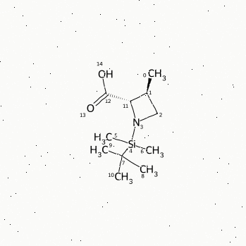 C[C@H]1CN([Si](C)(C)C(C)(C)C)[C@@H]1C(=O)O